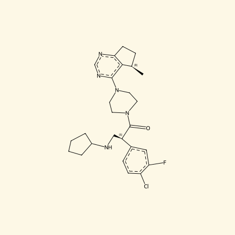 C[C@@H]1CCc2ncnc(N3CCN(C(=O)[C@H](CNC4CCCC4)c4ccc(Cl)c(F)c4)CC3)c21